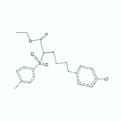 CCOC(=O)C(CCCCc1ccc(Cl)cc1)S(=O)(=O)c1ccc(C)cc1